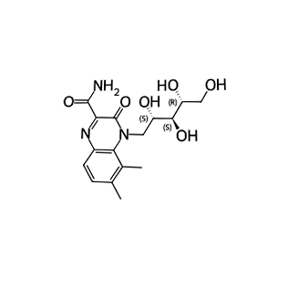 Cc1ccc2nc(C(N)=O)c(=O)n(C[C@H](O)[C@H](O)[C@H](O)CO)c2c1C